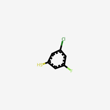 Fc1cc(S)cc(Cl)c1